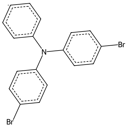 Brc1ccc(N(c2cc[c]cc2)c2ccc(Br)cc2)cc1